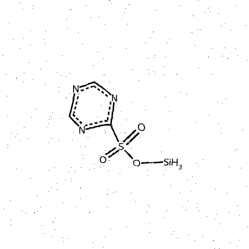 O=S(=O)(O[SiH3])c1ncncn1